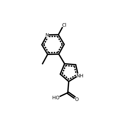 Cc1cnc(Cl)cc1-c1c[nH]c(C(=O)O)c1